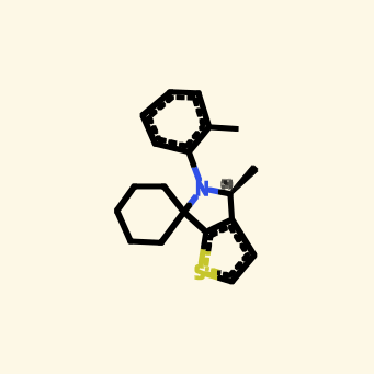 Cc1ccccc1N1[C@@H](C)c2ccsc2C12CCCCC2